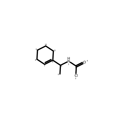 CC(NC(=O)Cl)C1=CCCCC1